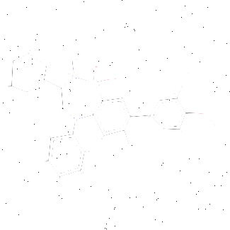 CCOc1ccc(-c2cc3c(cc2Cl)N(c2ccccc2)CC(C2CCCCC2)N(C)S3(O)O)cc1C(=O)O